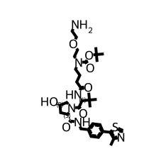 Cc1ncsc1-c1ccc(CNC(=O)[C@@H]2C[C@@H](O)CN2C(=O)[C@@H](NC(=O)CCCN(CCOCCN)C(=O)OC(C)(C)C)C(C)(C)C)cc1